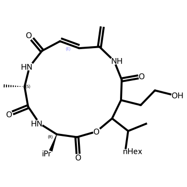 C=C1/C=C/C(=O)N[C@@H](C)C(=O)N[C@H](C(C)C)C(=O)OC(C(C)CCCCCC)C(CCO)C(=O)N1